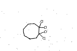 ClC1(Cl)CCCCCCC1(Cl)Cl